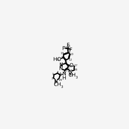 CN1CCC[C@@H](Nc2nnc(-c3ccc(C(F)(F)F)cc3O)c3c2N(C)CCO3)C1